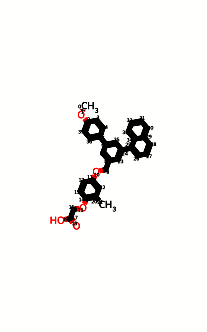 COc1ccc(-c2cc(COc3ccc(OCC(=O)O)c(C)c3)cc(-c3cccc4ccccc34)c2)cc1